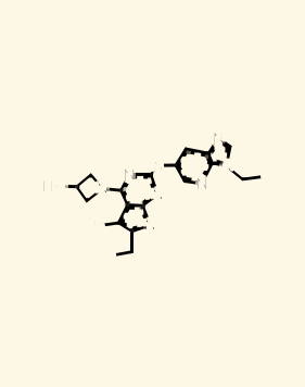 CCc1[nH]c2nc(Sc3cnc4c(c3)ncn4CC)nc(N3CC(O)C3)c2c1Br